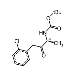 C[C@H](NC(=O)OC(C)(C)C)C(=O)Cc1ccccc1Cl